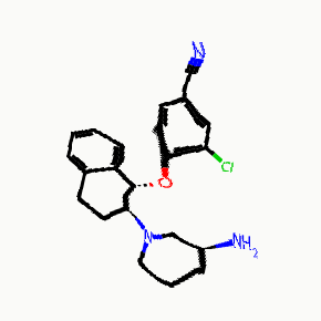 N#Cc1ccc(O[C@H]2c3ccccc3CC[C@@H]2N2CCC[C@H](N)C2)c(Cl)c1